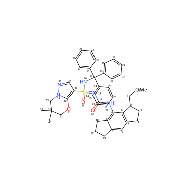 COCC1CCc2cc3c(c(NC(=O)N=S(=O)(NC(c4ccccc4)(c4ccccc4)c4ccccc4)c4cnn5c4OCC(C)(C)C5)c21)CCC3